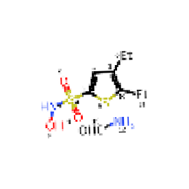 CCc1cc(S(=O)(=O)NO)sc1CC.NC=O